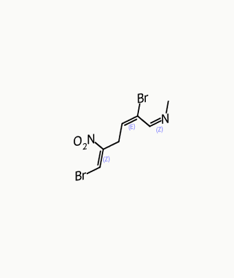 C/N=C\C(Br)=C/C/C(=C/Br)[N+](=O)[O-]